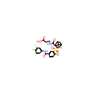 O=C(O)CCNC(=O)CC1(O)C2CC1CC(S(=O)(=O)c1cc(C(=O)Nc3cc(F)c(F)c(F)c3)ccc1Cl)C2